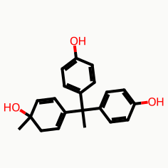 CC1(O)C=CC(C(C)(c2ccc(O)cc2)c2ccc(O)cc2)=CC1